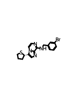 Brc1cccc(CNc2nccn3c([C@@H]4CCCS4)cnc23)c1